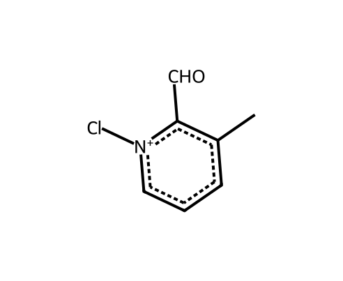 Cc1ccc[n+](Cl)c1C=O